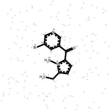 CCc1ccc(C(=O)c2cncc(Br)c2)n1N